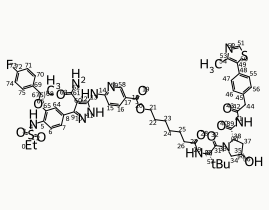 CCS(=O)(=O)Nc1ccc(-c2n[nH]c(Nc3ccc(C(=O)OCCCCCCC(=O)N[C@H](C(=O)N4C[C@H](O)C[C@H]4C(=O)NC(=O)Cc4ccc(-c5scnc5C)cc4)C(C)(C)C)cn3)c2C(N)=O)cc1O[C@@H](C)c1ccc(F)cc1